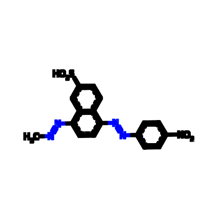 CN=Nc1ccc(N=Nc2ccc([N+](=O)[O-])cc2)c2ccc(S(=O)(=O)O)cc12